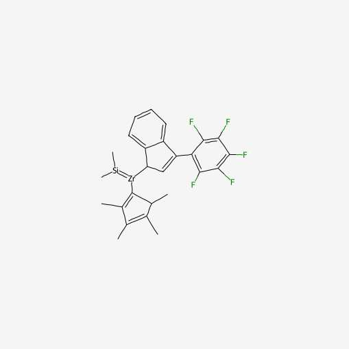 CC1=C(C)C(C)[C]([Zr]([CH]2C=C(c3c(F)c(F)c(F)c(F)c3F)c3ccccc32)=[Si](C)C)=C1C